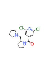 O=C(c1cc(Cl)nc(Cl)c1)N1CCC[C@H]1CN1CCCC1